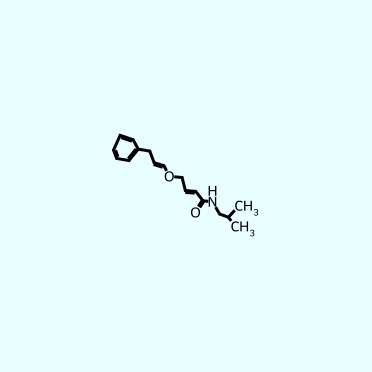 CC(C)CNC(=O)C=CCOC=CCc1ccccc1